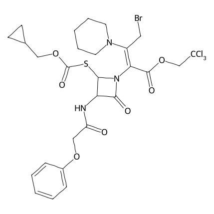 O=C(COc1ccccc1)NC1C(=O)N(/C(C(=O)OCC(Cl)(Cl)Cl)=C(/CBr)N2CCCCC2)C1SC(=O)OCC1CC1